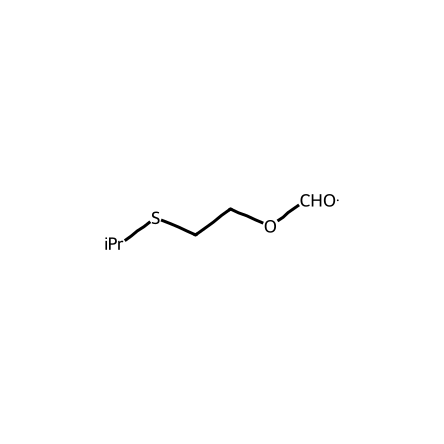 CC(C)SCCO[C]=O